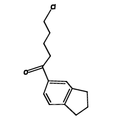 O=C(CCCCCl)c1ccc2c(c1)CCC2